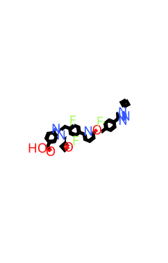 O=C(O)c1ccc2nc(Cc3cc(F)c(-c4cccc(OCc5ccc(-c6cn(C78CC(C7)C8)nn6)cc5F)n4)cc3F)n(C[C@@H]3CCO3)c2c1